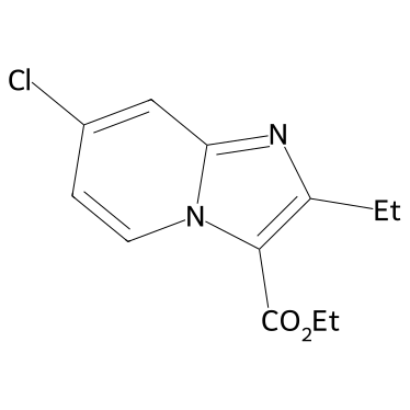 CCOC(=O)c1c(CC)nc2cc(Cl)ccn12